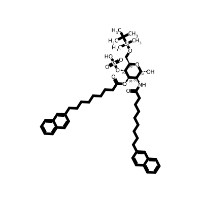 CC(C)(C)[Si](C)(C)OC[C@H]1O[C@H](O)[C@@H](NC(=O)CCCCCCCCc2ccc3ccccc3c2)[C@@H](OC(=O)CCCCCCCCc2ccc3ccccc3c2)[C@@H]1OS(=O)(=O)O